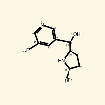 CCC[C@@H]1CC[C@H]([C@H](O)c2cncc(F)c2)N1